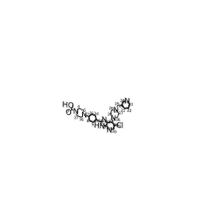 O=C(O)N1CCN(c2ccc(-c3nc4c(N5CCN(Cc6cccnc6)CC5)c(Cl)cnc4[nH]3)cc2)CC1